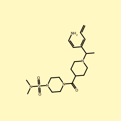 C=C/C=C(\C=C/N)C(C)N1CCC(C(=O)N2CCN(S(=O)(=O)N(C)C)CC2)CC1